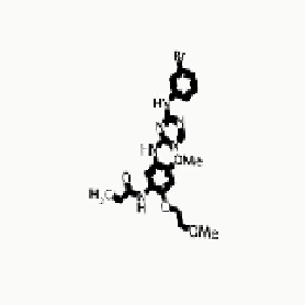 C=CC(=O)Nc1cc(Nc2ncnc(Nc3cccc(Br)c3)n2)c(OC)cc1OCCOC